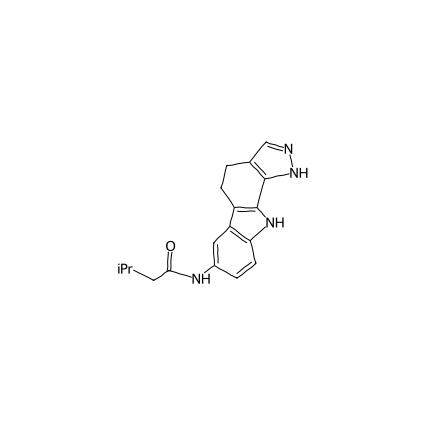 CC(C)CC(=O)Nc1ccc2[nH]c3c(c2c1)CCc1cn[nH]c1-3